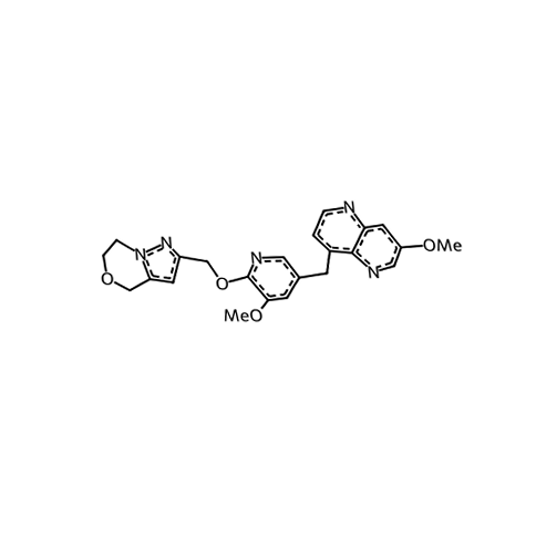 COc1cnc2c(Cc3cnc(OCc4cc5n(n4)CCOC5)c(OC)c3)ccnc2c1